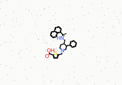 C[C@@H](NCC1CCN(Cc2ccc(C(=O)O)s2)CC1c1ccccc1)c1cccc2ccccc12